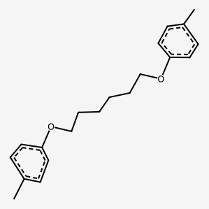 Cc1ccc(OCCCCCCOc2ccc(C)cc2)cc1